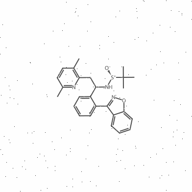 Cc1ccc(C)c(CC(N[S@@+]([O-])C(C)(C)C)c2ccccc2-c2noc3ccccc23)n1